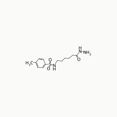 Cc1ccc(S(=O)(=O)NCCCCCC(=O)NN)cc1